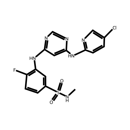 CNS(=O)(=O)c1ccc(F)c(Nc2cc(Nc3ccc(Cl)cn3)ncn2)c1